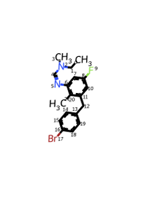 CCN(C)/C=N\c1cc(F)cc(Cc2ccc(Br)cc2)c1C